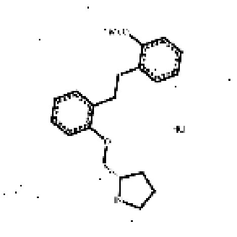 COc1ccccc1CCc1ccccc1OC[C@@H]1CCCN1.Cl